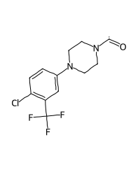 O=[C]N1CCN(c2ccc(Cl)c(C(F)(F)F)c2)CC1